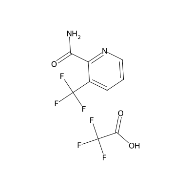 NC(=O)c1ncccc1C(F)(F)F.O=C(O)C(F)(F)F